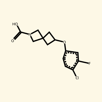 O=C(O)N1CC2(CC(Oc3ccc(Cl)c(F)c3)C2)C1